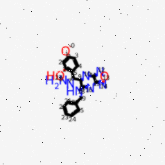 COc1ccc(C(=NN)c2nc3nonc3nc2NCc2ccccc2)c(O)c1